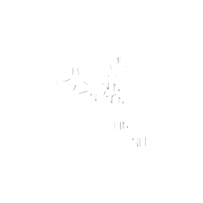 NCCNCCNc1nc(Nc2ccc(C(=O)O)cc2)nc(OCC(F)(F)F)n1